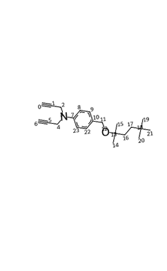 C#CCN(CC#C)c1ccc(COC(C)(C)CCC(C)(C)C)cc1